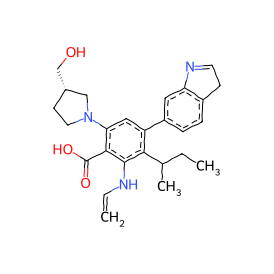 C=CNc1c(C(=O)O)c(N2CC[C@H](CO)C2)cc(-c2ccc3c(c2)N=CC3)c1C(C)CC